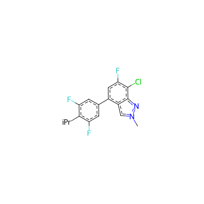 CC(C)c1c(F)cc(-c2cc(F)c(Cl)c3nn(C)cc23)cc1F